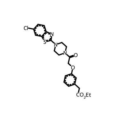 CCOC(=O)Cc1cccc(OCC(=O)N2CCN(c3nc4ccc(Cl)cc4s3)CC2)c1